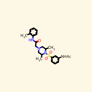 CC(=O)Nc1cccc(S(=O)(=O)N2C(C)CN(CC(=O)Nc3ccccc3C)CC2C)c1